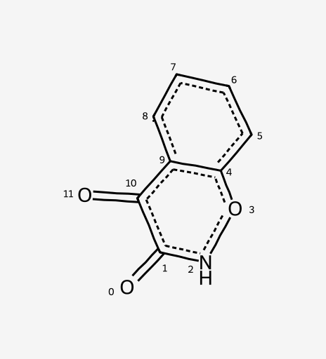 O=c1[nH]oc2ccc[c]c2c1=O